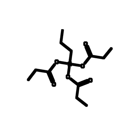 CCC[Si](OC(=O)CC)(OC(=O)CC)OC(=O)CC